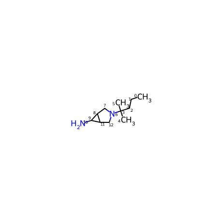 CCCC(C)(C)N1CC2C(N)C2C1